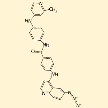 Cc1cc(Nc2ccc(NC(=O)c3ccc(Nc4ccnc5ccc(N=[N+]=[N-])cc45)cc3)cc2)ccn1